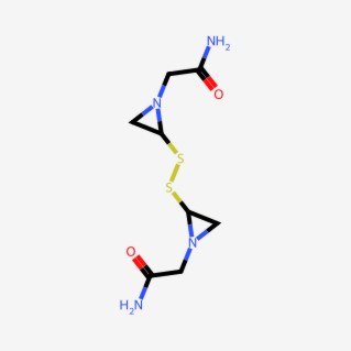 NC(=O)CN1CC1SSC1CN1CC(N)=O